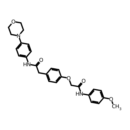 COc1ccc(NC(=O)COc2ccc(CC(=O)Nc3ccc(N4CCOCC4)cc3)cc2)cc1